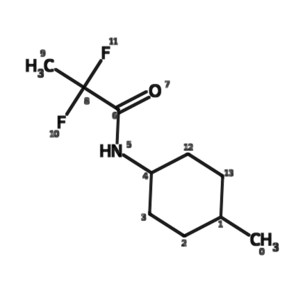 CC1CCC(NC(=O)C(C)(F)F)CC1